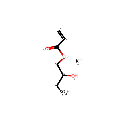 C=CC(=O)OCC(O)CS(=O)(=O)O.[KH]